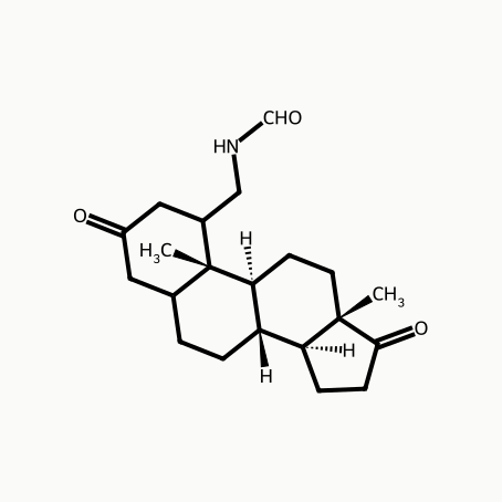 C[C@]12C(CC[C@@H]3[C@@H]1CC[C@]1(C)C(=O)CC[C@@H]31)CC(=O)CC2CNC=O